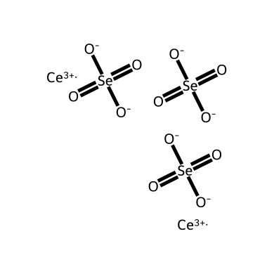 O=[Se](=O)([O-])[O-].O=[Se](=O)([O-])[O-].O=[Se](=O)([O-])[O-].[Ce+3].[Ce+3]